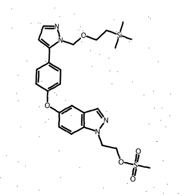 C[Si](C)(C)CCOCn1nccc1-c1ccc(Oc2ccc3c(cnn3CCOS(C)(=O)=O)c2)cc1